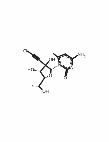 Cc1cc(N)nc(=O)n1[C@@H]1O[C@H]([C@@H](C)O)[C@H](O)C1(O)C#CCl